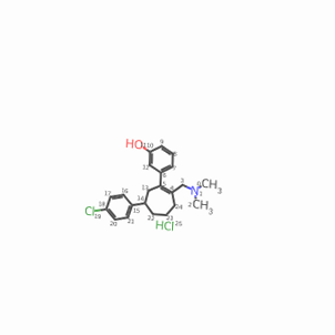 CN(C)CC1=C(c2cccc(O)c2)CC(c2ccc(Cl)cc2)CCC1.Cl